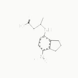 CC(CC(=O)O)Nc1ccc([N+](=O)[O-])c2c1CCC2